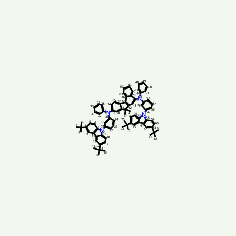 CC(C)(C)c1ccc2c(c1)c1cc(C(C)(C)C)ccc1n2-c1cccc(N(c2ccccc2)c2ccc3c(c2)C(C)(C)c2cc(N(c4ccccc4)c4cccc(-n5c6ccc(C(C)(C)C)cc6c6cc(C(C)(C)C)ccc65)c4)c4ccccc4c2-3)c1